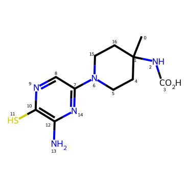 CC1(NC(=O)O)CCN(c2cnc(S)c(N)n2)CC1